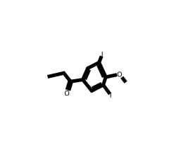 CCC(=O)c1cc(I)c(OC)c(I)c1